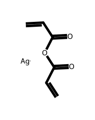 C=CC(=O)OC(=O)C=C.[Ag]